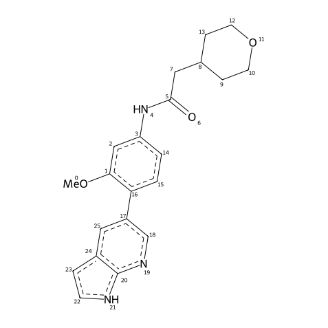 COc1cc(NC(=O)CC2CCOCC2)ccc1-c1cnc2[nH]ccc2c1